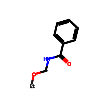 CCO[CH]NC(=O)c1ccccc1